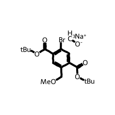 COCc1cc(C(=O)OC(C)(C)C)c(Br)cc1C(=O)OC(C)(C)C.C[O-].[Na+]